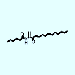 CCCCCCCCCCCC(=O)NNC(=O)CCCCC